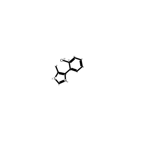 [CH2]c1scnc1-c1ccccc1Cl